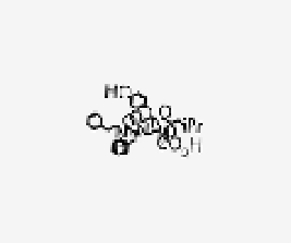 CC(C)CC1ON(C(=O)O)C2CN([C@@H](Cc3ccccc3)C(=O)NCCc3ccccc3)C(=O)C(Cc3ccc(O)cc3)N2C1=O